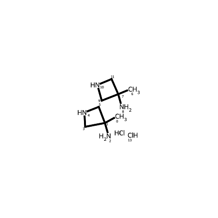 CC1(N)CNC1.CC1(N)CNC1.Cl.Cl